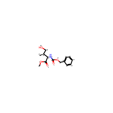 COC(=O)[C@@H](NC(=O)OCc1ccccc1)[C@@H](C)CO